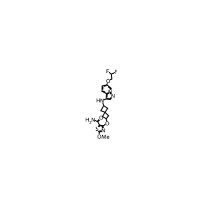 COc1nc(OC2CC3(CC(Nc4cnn5cc(OCC(F)F)ccc45)C3)C2)c(C(N)=O)s1